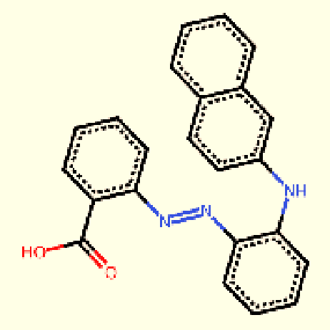 O=C(O)c1ccccc1N=Nc1ccccc1Nc1ccc2ccccc2c1